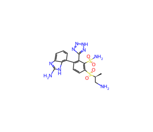 C[C@@H](CN)S(=O)(=O)c1ccc(-c2cccc3nc(N)[nH]c23)c(-c2nn[nH]n2)c1S(N)(=O)=O